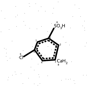 O=S(=O)(O)c1cccc(Cl)c1.[CaH2]